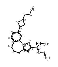 CC(C)N/C(=N\C=N)c1cc2n(n1)-c1cc(C3CN(CCO)C3)ccc1OCC2